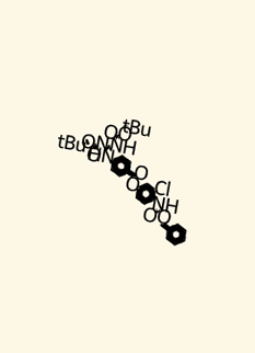 CC(C)(C)OC(=O)/N=C(/NC(=O)OC(C)(C)C)Nc1ccc(C(=O)Oc2ccc(NC(=O)OCc3ccccc3)c(Cl)c2)cc1